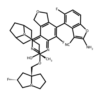 C[C@@H](O)CN1CC2CCC(C1)N2c1nc(OC[C@@]23CCCN2C[C@H](F)C3)nc2c(F)c(-c3c(F)ccc4oc(N)c(C#N)c34)c3c(c12)COC3